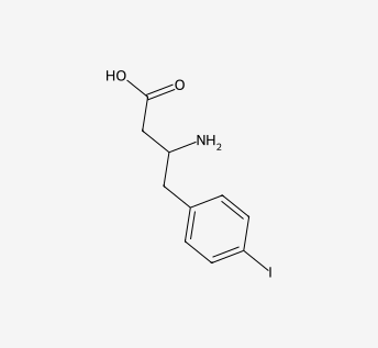 NC(CC(=O)O)Cc1ccc(I)cc1